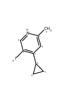 Cc1cc(C2CC2)c(I)cn1